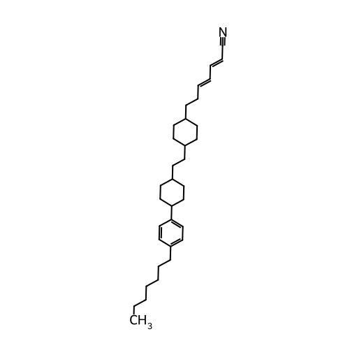 CCCCCCCc1ccc(C2CCC(CCC3CCC(CCC=CC=CC#N)CC3)CC2)cc1